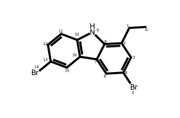 CCc1cc(Br)cc2c1[nH]c1ccc(Br)cc12